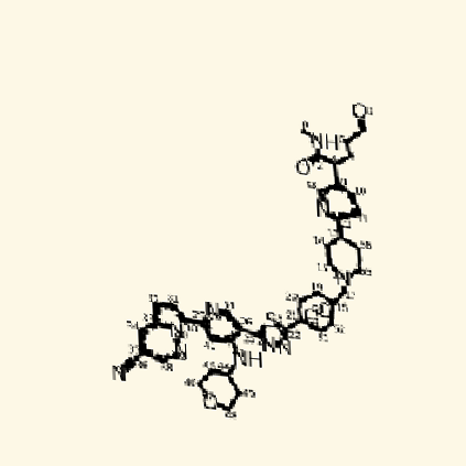 CNC(=O)C(CCC=O)c1ccc(C2CCN(CC34CCC(c5nnc(-c6cnc(-c7ccc8cc(C#N)cnn78)cc6NC6CCOCC6)s5)(CC3)CC4)CC2)nc1